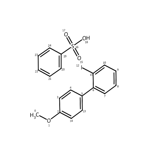 COc1ccc(-c2ccccc2I)cc1.O=S(=O)(O)c1ccccc1